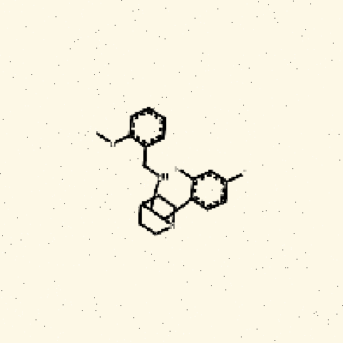 COc1ccccc1CNC1C2CCN(CC2)C1c1ccc(F)cc1F